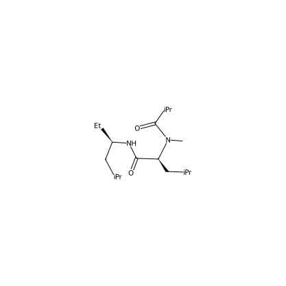 CC[C@H](CC(C)C)NC(=O)[C@H](CC(C)C)N(C)C(=O)C(C)C